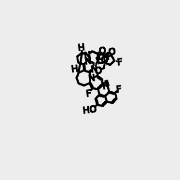 C#Cc1c(F)ccc2cc(O)cc(C3=C(F)C=C(OC[C@@]45CCCN4C[C@H](F)C5)N4C5=NCN6C7=C5[C@@H](CCCC4=C3F)[C@H](CC7)N6Cc3oc(=O)oc3C)c12